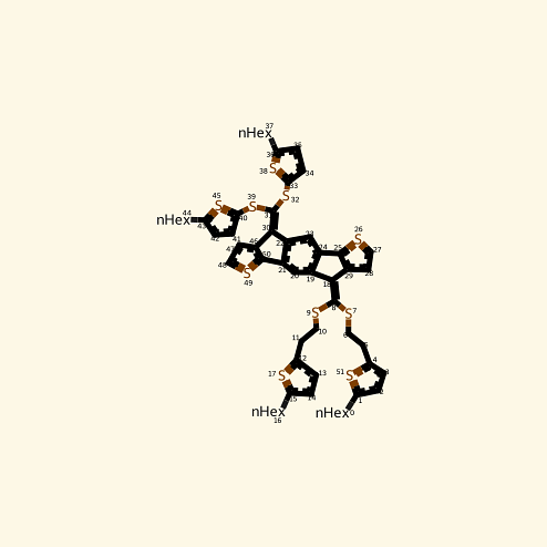 CCCCCCc1ccc(CCSC(SCCc2ccc(CCCCCC)s2)=C2c3cc4c(cc3-c3sccc32)C(=C(Sc2ccc(CCCCCC)s2)Sc2ccc(CCCCCC)s2)c2ccsc2-4)s1